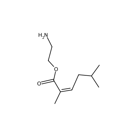 CC(=CCC(C)C)C(=O)OCCN